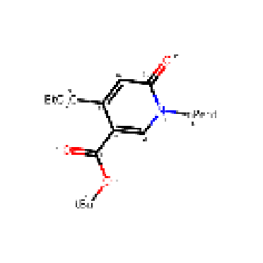 CCCCCn1cc(C(=O)OC(C)(C)C)c(C(=O)OCC)cc1=O